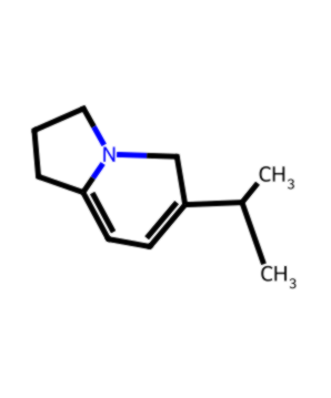 CC(C)C1=CC=C2CCCN2C1